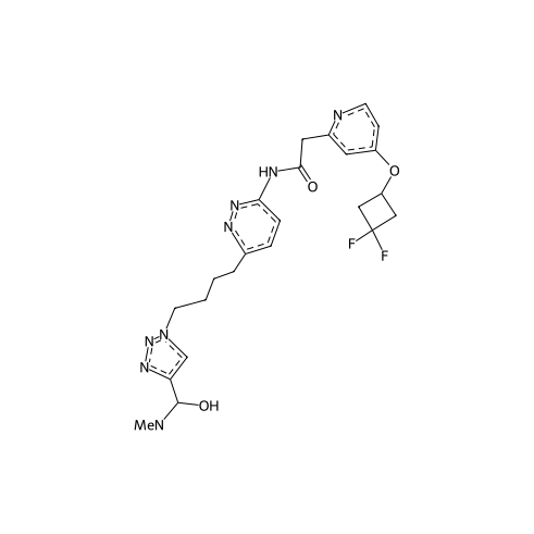 CNC(O)c1cn(CCCCc2ccc(NC(=O)Cc3cc(OC4CC(F)(F)C4)ccn3)nn2)nn1